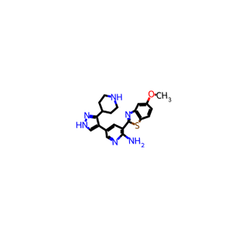 COc1ccc2sc(-c3cc(-c4c[nH]nc4C4CCNCC4)cnc3N)nc2c1